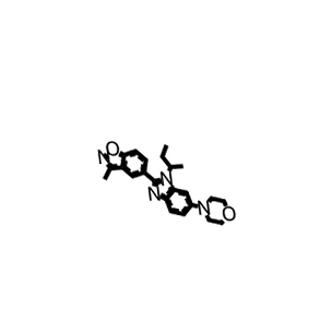 CCC(C)n1c(-c2ccc3onc(C)c3c2)nc2ccc(N3CCOCC3)cc21